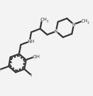 CC(CNCc1cc(I)cc(I)c1O)CN1CCN(C)CC1